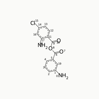 Nc1cccc(C(=O)OC(=O)c2ccc(Cl)cc2N)c1